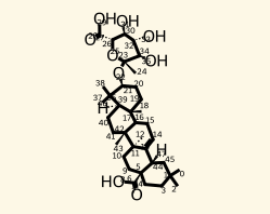 CC1(C)CC[C@]2(C(=O)O)CC[C@]3(C)C(=CCC4[C@@]5(C)CC[C@H](O[C@]6(C)O[C@H](C(=O)O)[C@@H](O)[C@H](O)[C@H]6O)C(C)(C)[C@@H]5CC[C@]43C)[C@@H]2C1